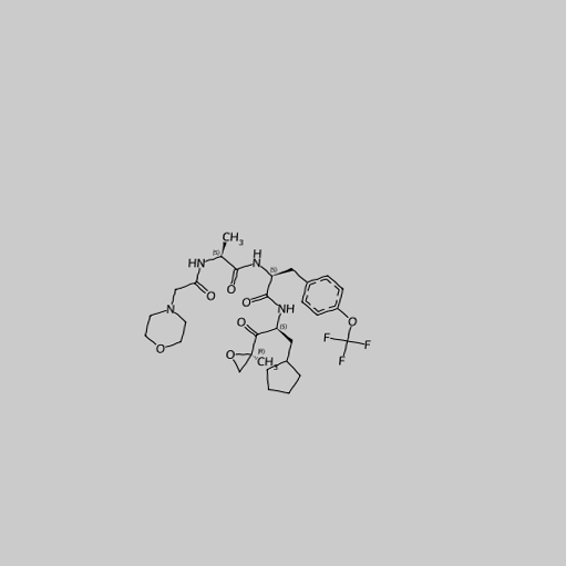 C[C@H](NC(=O)CN1CCOCC1)C(=O)N[C@@H](Cc1ccc(OC(F)(F)F)cc1)C(=O)N[C@@H](CC1CCCC1)C(=O)[C@@]1(C)CO1